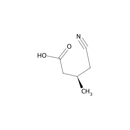 C[C@H](CC#N)CC(=O)O